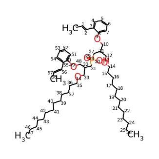 CC=Cc1ccccc1OCC(COCCCCCCCCCCCCC)CP(=O)(O)CC(COCCCCCCCCCCCCC)COc1ccccc1C=CC